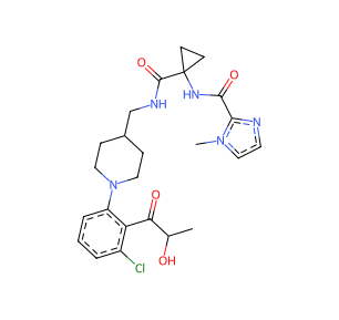 CC(O)C(=O)c1c(Cl)cccc1N1CCC(CNC(=O)C2(NC(=O)c3nccn3C)CC2)CC1